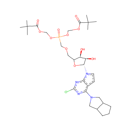 CC(C)(C)C(=O)OCOP(=O)(COCC1O[C@@H](n2ccc3c(N4CC5CCCC5C4)nc(Cl)nc32)[C@H](O)[C@@H]1O)OCOC(=O)C(C)(C)C